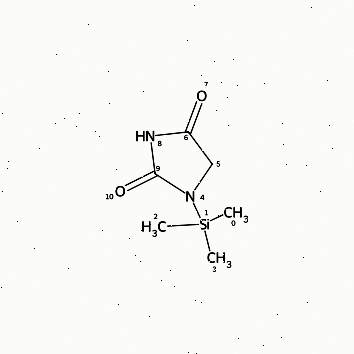 C[Si](C)(C)N1CC(=O)NC1=O